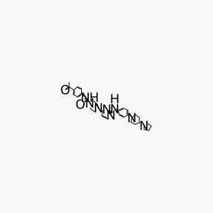 CC(=O)c1ccc(NC(=O)N2CCN(c3ccnc(Nc4ccc(N5CCC(N6CCCC6)CC5)cc4)n3)CC2)cc1